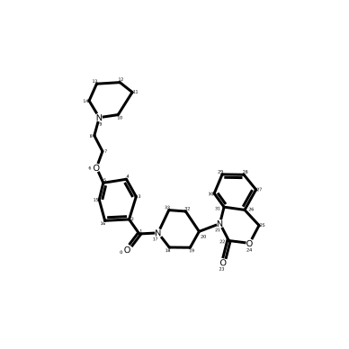 O=C(c1ccc(OCCN2CCCCC2)cc1)N1CCC(N2C(=O)OCc3ccccc32)CC1